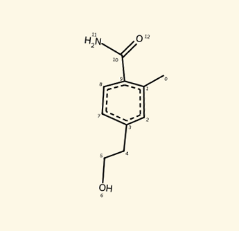 Cc1cc(CCO)ccc1C(N)=O